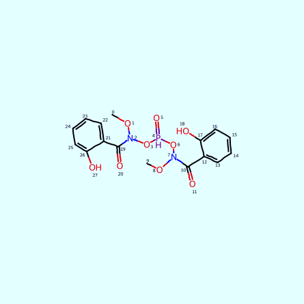 CON(O[PH](=O)ON(OC)C(=O)c1ccccc1O)C(=O)c1ccccc1O